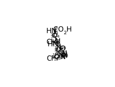 O=C(O)Nc1ccc(-c2nc(Cn3ccc(-c4cc(Cl)ccc4-n4cnnn4)cc3=O)[nH]c2Cl)cc1